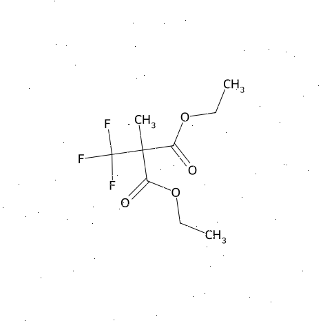 CCOC(=O)C(C)(C(=O)OCC)C(F)(F)F